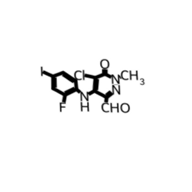 Cn1nc(C=O)c(Nc2ccc(I)cc2F)c(Cl)c1=O